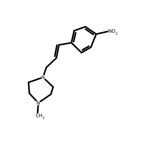 CN1CCN(CC=Cc2ccc([N+](=O)[O-])cc2)CC1